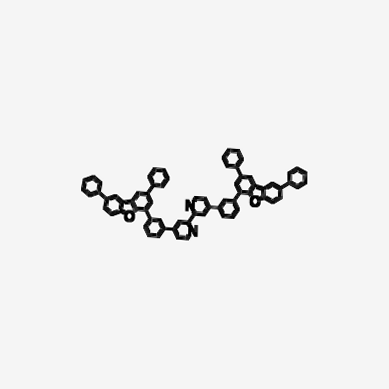 c1ccc(-c2ccc3oc4c(-c5cccc(-c6ccnc(-c7cc(-c8cccc(-c9cc(-c%10ccccc%10)cc%10c9oc9ccc(-c%11ccccc%11)cc9%10)c8)ccn7)c6)c5)cc(-c5ccccc5)cc4c3c2)cc1